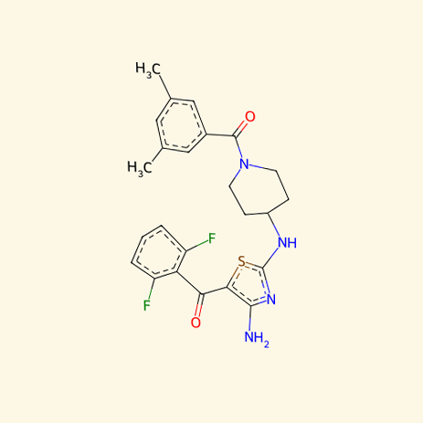 Cc1cc(C)cc(C(=O)N2CCC(Nc3nc(N)c(C(=O)c4c(F)cccc4F)s3)CC2)c1